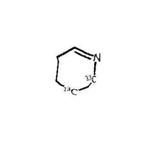 C1=N[13CH2][13CH2]CC1